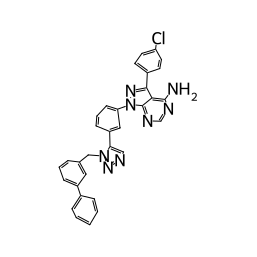 Nc1ncnc2c1c(-c1ccc(Cl)cc1)nn2-c1cccc(-c2cnnn2Cc2cccc(-c3ccccc3)c2)c1